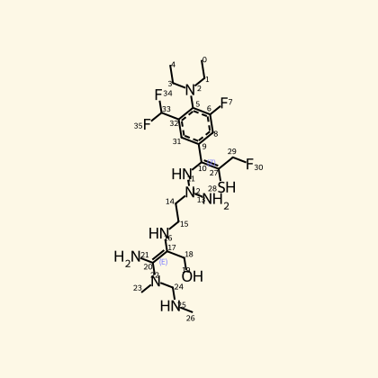 CCN(CC)c1c(F)cc(/C(NN(N)CCN/C(CO)=C(\N)N(C)CNC)=C(/S)CF)cc1C(F)F